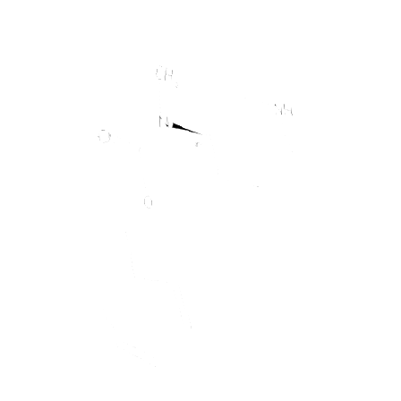 CN(C(=O)OCc1ccccc1)[C@@H]1CCCNC1